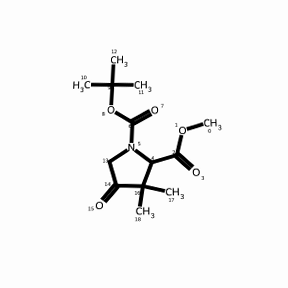 COC(=O)C1N(C(=O)OC(C)(C)C)CC(=O)C1(C)C